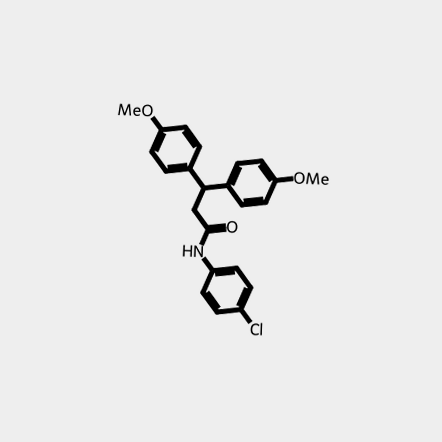 COc1ccc(C(CC(=O)Nc2ccc(Cl)cc2)c2ccc(OC)cc2)cc1